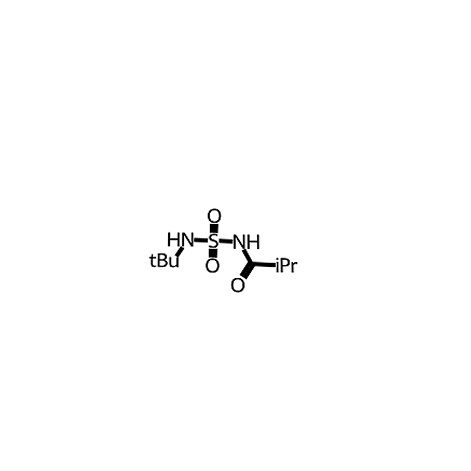 CC(C)C(=O)NS(=O)(=O)NC(C)(C)C